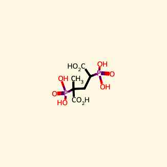 CC(CC(C(=O)O)P(=O)(O)O)(C(=O)O)P(=O)(O)O